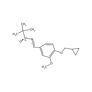 COc1cc(/C=N/[S@@+]([O-])C(C)(C)C)ccc1OCC1CC1